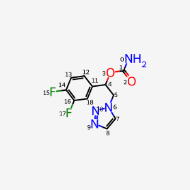 NC(=O)OC(Cn1ccnn1)c1ccc(F)c(F)c1